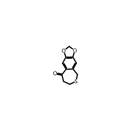 O=C1CCSCc2cc3c(cc21)OCO3